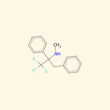 CNC(Cc1ccccc1)(c1ccccc1)C(F)(F)F